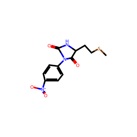 CSCCC1NC(=O)N(c2ccc([N+](=O)[O-])cc2)C1=O